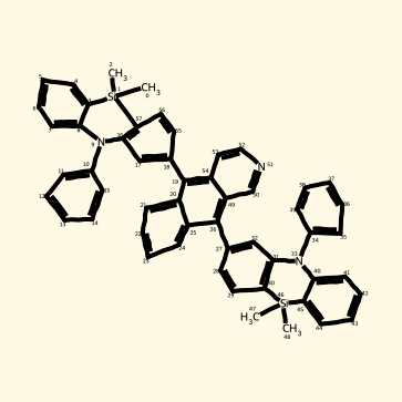 C[Si]1(C)c2ccccc2N(c2ccccc2)c2cc(-c3c4ccccc4c(-c4ccc5c(c4)N(c4ccccc4)c4ccccc4[Si]5(C)C)c4cnccc34)ccc21